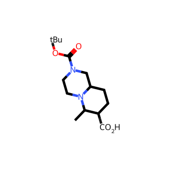 CC1C(C(=O)O)CCC2CN(C(=O)OC(C)(C)C)CCN21